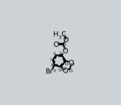 COC(=O)Oc1ccc(Br)c2c1OCO2